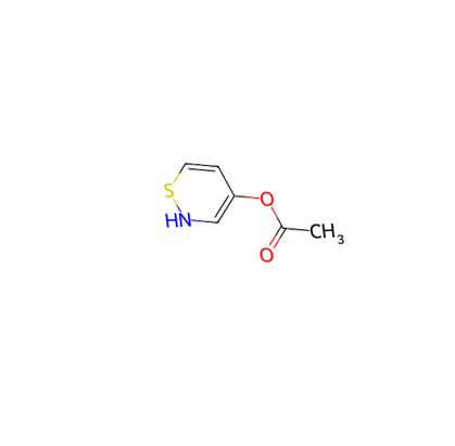 CC(=O)OC1=CNSC=C1